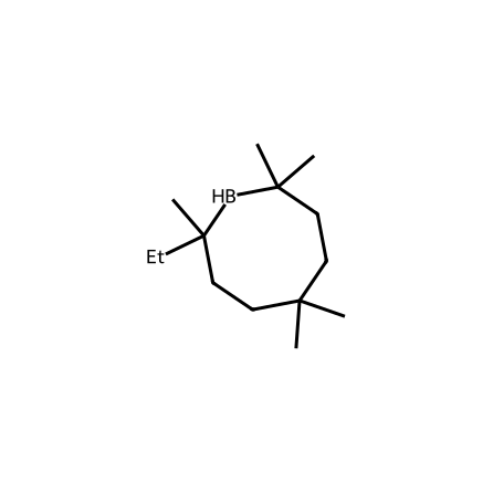 CCC1(C)BC(C)(C)CCC(C)(C)CC1